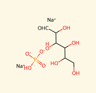 O=CC(O)C(O)C(O)C(O)CO.O=P([O-])([O-])O.[Na+].[Na+]